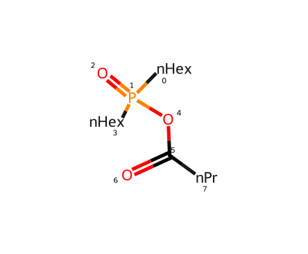 CCCCCCP(=O)(CCCCCC)OC(=O)CCC